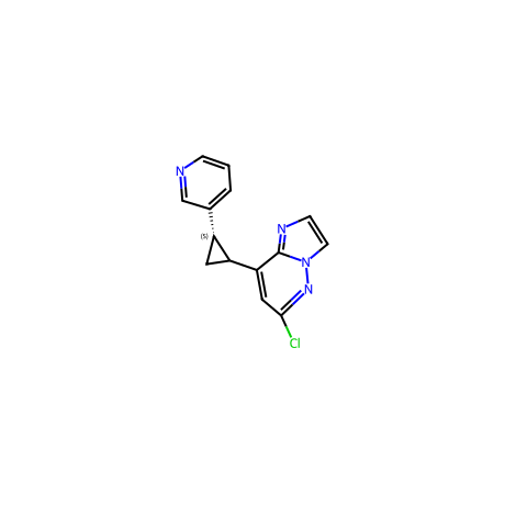 Clc1cc(C2C[C@@H]2c2cccnc2)c2nccn2n1